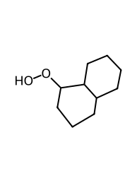 OOC1CCCC2CCCCC21